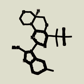 CNc1nc2ccc(C)cc2n1-c1nc2c(c(C(C)(C)S(C)(=O)=O)n1)OC[C@@H]1COCCN21